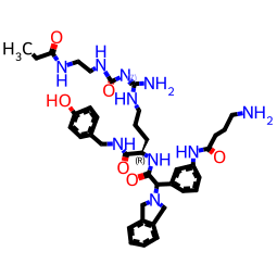 CCC(=O)NCCNC(=O)/N=C(/N)NCCC[C@@H](NC(=O)C(c1cccc(NC(=O)CCCN)c1)N1Cc2ccccc2C1)C(=O)NCc1ccc(O)cc1